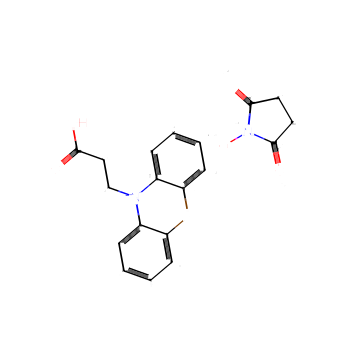 O=C(O)CCN1c2ccccc2Sc2ccccc21.O=C1CCC(=O)N1O